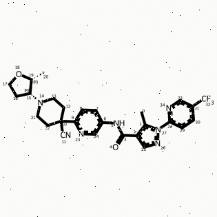 Cc1c(C(=O)Nc2ccc(C3(C#N)CCN([C@@H]4CCO[C@@H]4C)CC3)nc2)cnn1-c1ccc(C(F)(F)F)cn1